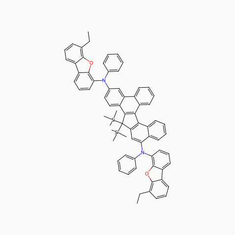 CCc1cccc2c1oc1c(N(c3ccccc3)c3ccc4c5c(c6ccccc6c4c3)-c3c(cc(N(c4ccccc4)c4cccc6c4oc4c(CC)cccc46)c4ccccc34)C5([Si](C)(C)C)[Si](C)(C)C)cccc12